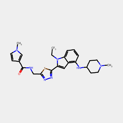 CN1CCC(Nc2cccc3c2cc(-c2nnc(CNC(=O)c4ccn(C)c4)s2)n3CC(F)(F)F)CC1